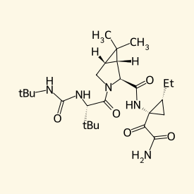 CC[C@@H]1C[C@@]1(NC(=O)[C@@H]1[C@@H]2[C@H](CN1C(=O)[C@@H](NC(=O)NC(C)(C)C)C(C)(C)C)C2(C)C)C(=O)C(N)=O